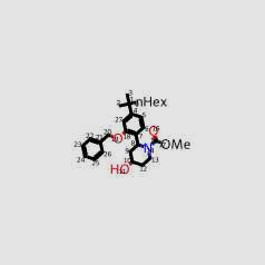 CCCCCCC(C)(C)c1ccc(C2CC(O)CCN2C(=O)OC)c(OCc2ccccc2)c1